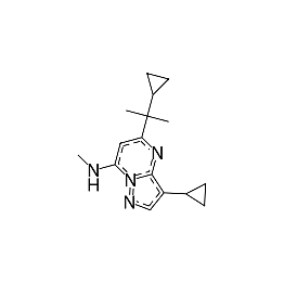 CNc1cc(C(C)(C)C2CC2)nc2c(C3CC3)cnn12